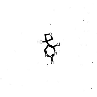 OC1(c2cnc(Cl)nc2Cl)COC1